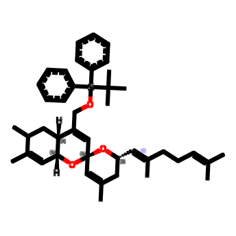 CC(C)=CCC/C(C)=C/[C@@H]1CC(C)=C[C@]2(C=C(CO[Si](c3ccccc3)(c3ccccc3)C(C)(C)C)[C@H]3CC(C)C(C)=C[C@H]3O2)O1